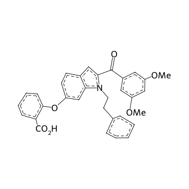 COc1cc(OC)cc(C(=O)c2cc3ccc(Oc4ccccc4C(=O)O)cc3n2CCc2ccccc2)c1